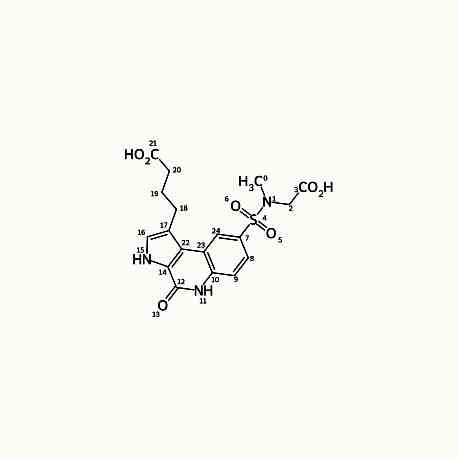 CN(CC(=O)O)S(=O)(=O)c1ccc2[nH]c(=O)c3[nH]cc(CCCC(=O)O)c3c2c1